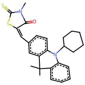 CN1C(=O)/C(=C\c2ccc3c(c2)C(C)(C)c2ccccc2N3C2CCCCC2)SC1=S